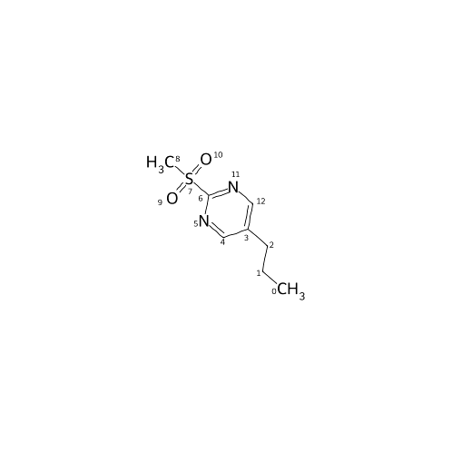 CCCc1cnc(S(C)(=O)=O)nc1